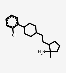 CC1(N)CCCC1CCC1CCC(c2ccccc2Cl)CC1